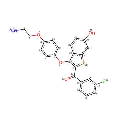 NCCOc1ccc(Oc2c(C(=O)c3cccc(F)c3)sc3cc(O)ccc23)cc1